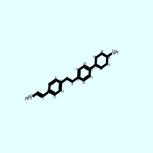 CCCC=Cc1ccc(CCc2ccc(C3CCC(CCC)CC3)cc2)cc1